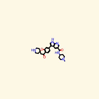 CN1CCC(NC(=O)c2cnc3[nH]cc(-c4ccc5c(c4)OC4(CCNCC4)CC5=O)c3c2)CC1